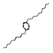 CCCCCCCCCOc1ccc(OCCCCCCCCC)cc1